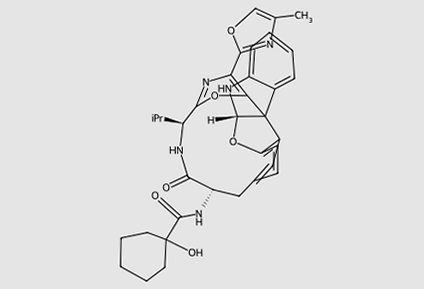 Cc1coc(-c2nc3oc2C24c5ccccc5N[C@H]2Oc2ccc(cc24)C[C@H](NC(=O)C2(O)CCCCC2)C(=O)N[C@H]3C(C)C)n1